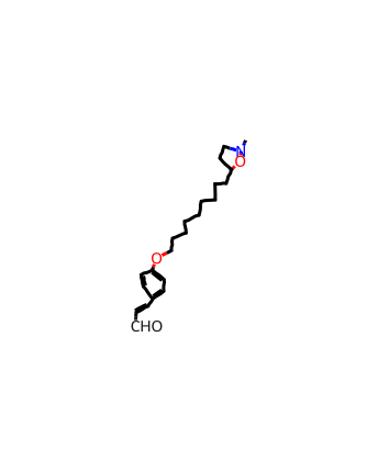 CN1CCC(CCCCCCCCCOc2ccc(C=CC=O)cc2)O1